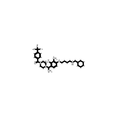 Cc1c(OCCCCNCC2CCCCC2)ccc(C(C)N2CCN(C(=O)c3ccc(C(F)(F)F)cc3)CC2)c1C